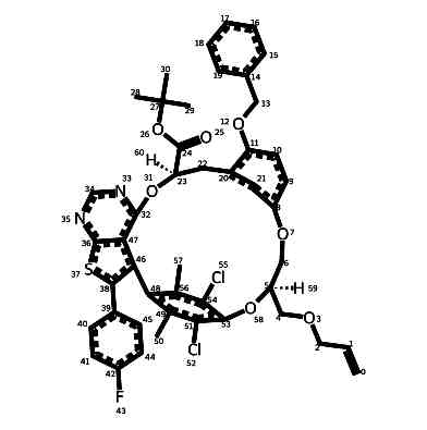 C=CCOC[C@@H]1COc2ccc(OCc3ccccc3)c(c2)C[C@H](C(=O)OC(C)(C)C)Oc2ncnc3sc(-c4ccc(F)cc4)c(c23)-c2c(C)c(Cl)c(c(Cl)c2C)O1